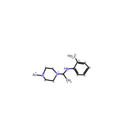 CC(=O)N1CCN(C(C)Nc2ccccc2C(=O)O)CC1